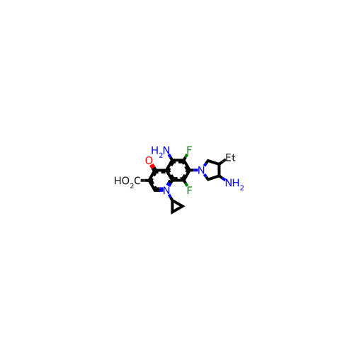 CCC1CN(c2c(F)c(N)c3c(=O)c(C(=O)O)cn(C4CC4)c3c2F)CC1N